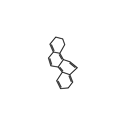 C1=Cc2c(ccc3c4c(ccc23)=CCCC4)=CC1